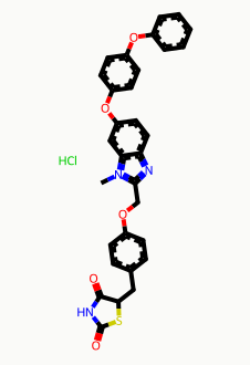 Cl.Cn1c(COc2ccc(CC3SC(=O)NC3=O)cc2)nc2ccc(Oc3ccc(Oc4ccccc4)cc3)cc21